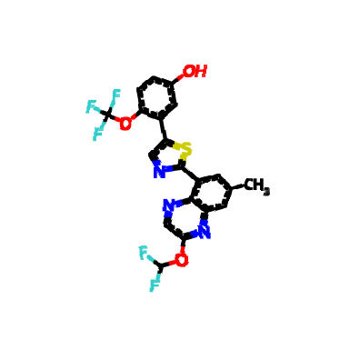 Cc1cc(-c2ncc(-c3cc(O)ccc3OC(F)(F)F)s2)c2ncc(OC(F)F)nc2c1